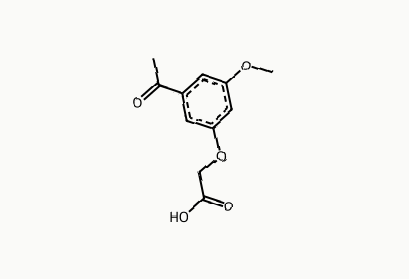 COc1cc(OCC(=O)O)cc(C(C)=O)c1